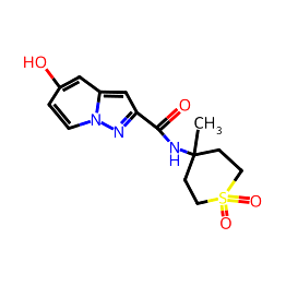 CC1(NC(=O)c2cc3cc(O)ccn3n2)CCS(=O)(=O)CC1